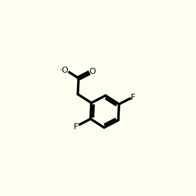 [O]C(=O)Cc1cc(F)ccc1F